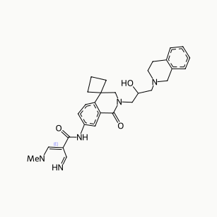 CN/C=C(\C=N)C(=O)Nc1ccc2c(c1)C(=O)N(CC(O)CN1CCc3ccccc3C1)CC21CCC1